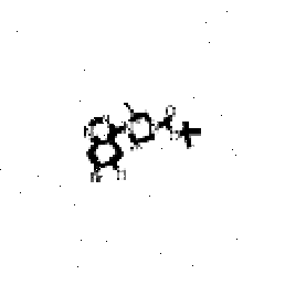 C[C@H]1CN(C(=O)OC(C)(C)C)C[C@H](C)N1c1ncnc2cc(Br)c(Cl)cc12